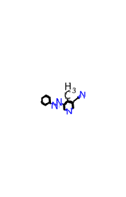 Cc1c(C#N)cncc1/N=N/c1ccccc1